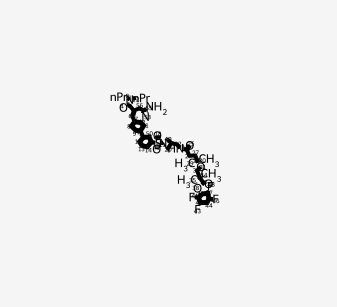 CCCN(CCC)C(=O)C1=Cc2ccc(-c3cccc(S(=O)(=O)N4CC(CNC(=O)CCC(C)(C)OCC(C)(C)C(=O)Oc5c(F)c(F)cc(F)c5F)C4)c3)cc2N=C(N)C1